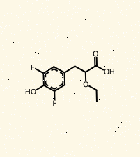 CCOC(Cc1cc(F)c(O)c(F)c1)C(=O)O